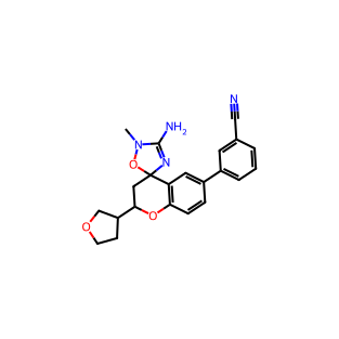 CN1OC2(CC(C3CCOC3)Oc3ccc(-c4cccc(C#N)c4)cc32)N=C1N